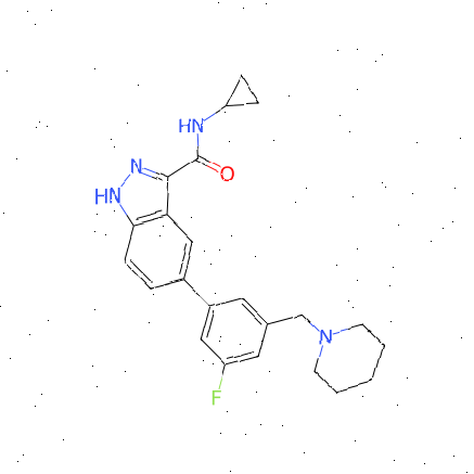 O=C(NC1CC1)c1n[nH]c2ccc(-c3cc(F)cc(CN4CCCCC4)c3)cc12